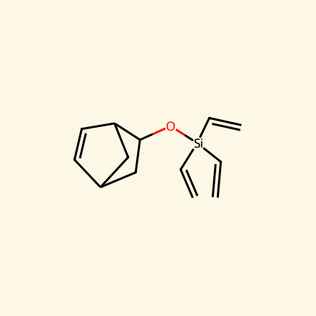 C=C[Si](C=C)(C=C)OC1CC2C=CC1C2